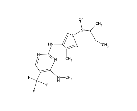 CCC(C)[S+]([O-])n1cc(Nc2ncc(C(F)(F)F)c(NC)n2)c(C)n1